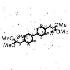 CO[Si](Cc1ccc(-c2ccc(C[Si](OC)(OC)OC)cc2)cc1)(OC)OC